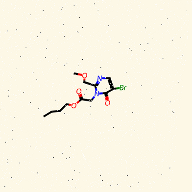 CCCCOC(=O)Cn1c(COC)ncc(Br)c1=O